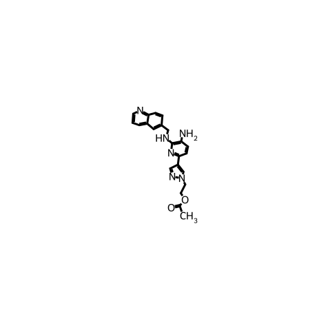 CC(=O)OCCn1cc(-c2ccc(N)c(NCc3ccc4ncccc4c3)n2)cn1